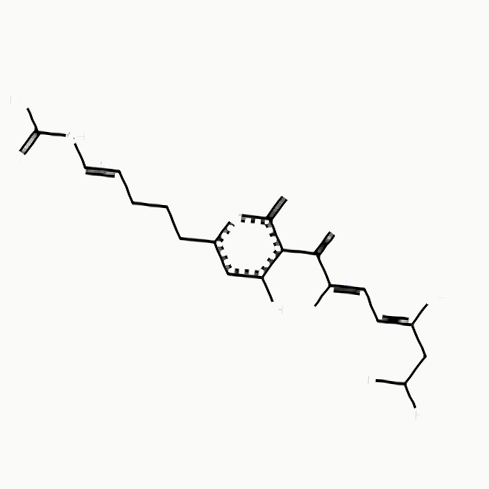 C/C(=C\C=C(/C)C(=O)c1c(O)cc(CCC/C=C/NC(=O)O)oc1=O)CC(F)F